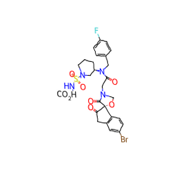 O=C(O)NS(=O)(=O)N1CCC[C@@H](N(Cc2ccc(F)cc2)C(=O)CN2CO[C@]3(C(=O)Cc4cc(Br)ccc43)C2=O)C1